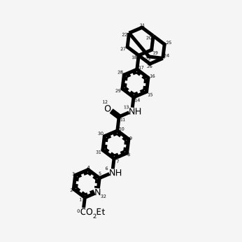 CCOC(=O)c1cccc(Nc2ccc(C(=O)Nc3ccc(C45CC6CC(CC(C6)C4)C5)cc3)cc2)n1